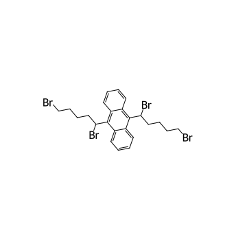 BrCCCCC(Br)c1c2ccccc2c(C(Br)CCCCBr)c2ccccc12